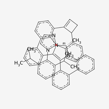 CC(C)c1cccc(C(C)C)c1-n1ccnc1-c1ccccc1C1CC=C1c1cccc2c1N1C(=C3c4ccccc4-c4ccccc4N3[C@H]1C)c1ccccc1-2